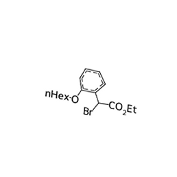 CCCCCCOc1ccccc1C(Br)C(=O)OCC